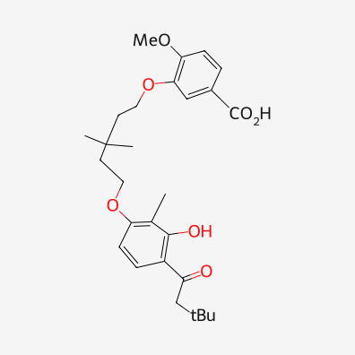 COc1ccc(C(=O)O)cc1OCCC(C)(C)CCOc1ccc(C(=O)CC(C)(C)C)c(O)c1C